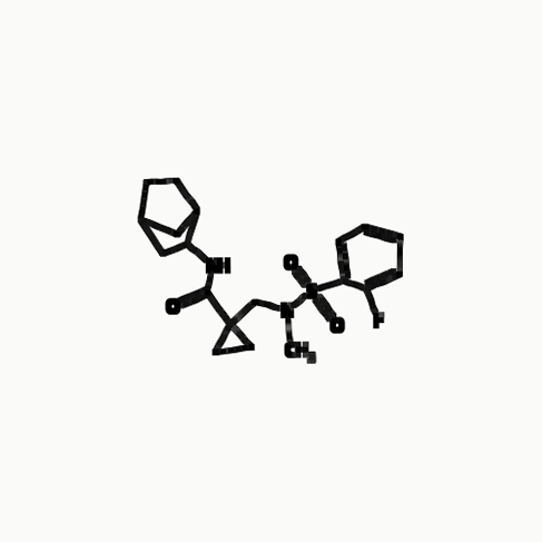 CN(CC1(C(=O)NC2CC3CCC2C3)CC1)S(=O)(=O)c1ccccc1F